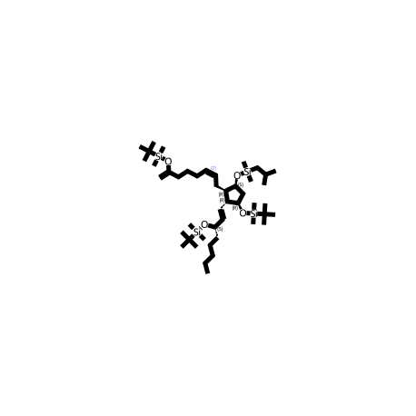 C=C(CCC/C=C\C[C@@H]1[C@@H](C=C[C@H](CCCCC)O[Si](C)(C)C(C)(C)C)[C@H](O[Si](C)(C)C(C)(C)C)C[C@@H]1O[Si](C)(C)CC(C)C)O[Si](C)(C)C(C)(C)C